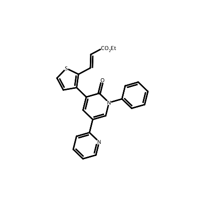 CCOC(=O)C=Cc1sccc1-c1cc(-c2ccccn2)cn(-c2ccccc2)c1=O